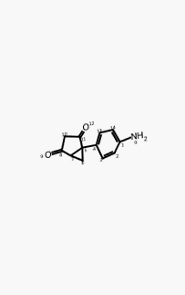 Nc1ccc(C23CC2C(=O)CC3=O)cc1